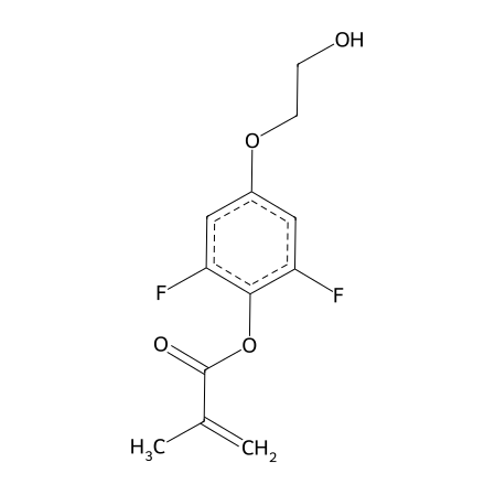 C=C(C)C(=O)Oc1c(F)cc(OCCO)cc1F